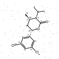 CC(C)N1C(=O)O[C@H](c2cc(Cl)cc(Cl)c2)C[C@H]1C